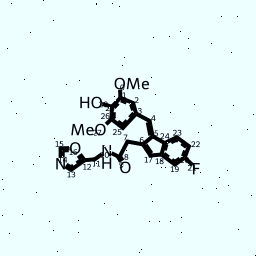 COc1cc(C=C2C(CC(=O)NCc3cnco3)=Cc3cc(F)ccc32)cc(OC)c1O